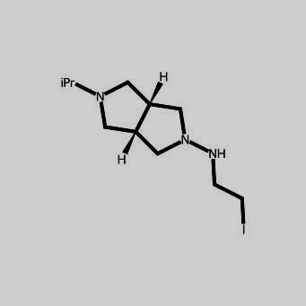 CC(C)N1C[C@H]2CN(NCCI)C[C@H]2C1